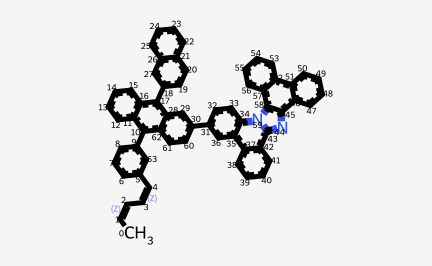 C/C=C\C=C/c1cccc(-c2c3ccccc3c(-c3ccc4ccccc4c3)c3cc(-c4ccc5c(c4)c4ccccc4c4nc6c7ccccc7c7ccccc7c6n54)ccc23)c1